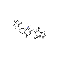 C=Nc1ccc(N2CCC(C)(C)C2=O)cc1/C(=C\C)C(=O)NCC(=O)N1CSC[C@H]1C#N